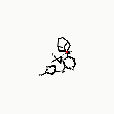 CC(C)n1cc(Nc2nccc(C3=CC4CCC(C3)N4C(=O)[C@@H]3CC3(F)F)n2)cn1